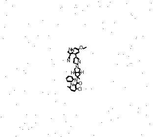 CCOc1cc(-c2ccc(N3C[C@@H]4CC(C)(N(C(=O)c5nc(C)ccc5Cl)c5ccccc5)C[C@@H]4C3)nc2)c2c(C#N)cnn2c1